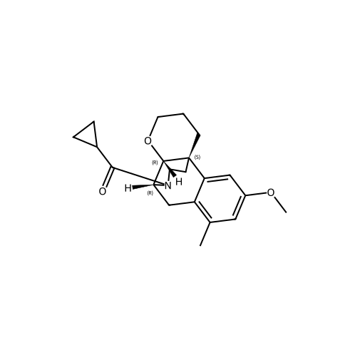 COc1cc(C)c2c(c1)[C@@]13CCCO[C@H]1[C@@H](C2)N(C(=O)C1CC1)CC3